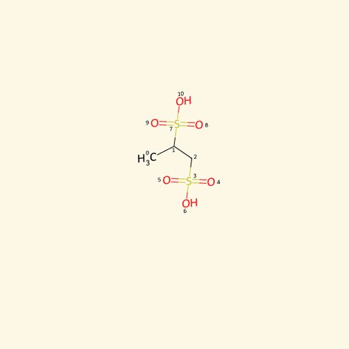 CC(CS(=O)(=O)O)S(=O)(=O)O